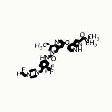 CC[C@H]1CN(C(=O)Nc2ccc(CN3CCN(CC(F)F)CC3)c(C(F)(F)F)c2)Cc2cc(Oc3ccnc4[nH]c(C(=O)N(C)C)cc34)cnc21